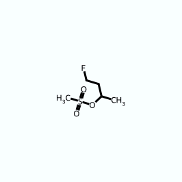 CC(CCF)OS(C)(=O)=O